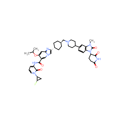 CC(C)Oc1cc2nc([C@H]3CC[C@H](CN4CCC(c5ccc6c(c5)n(C)c(=O)n6C5CCC(=O)NC5=O)CC4)CC3)cn2cc1C(=O)Nc1cccn([C@H]2C[C@H]2F)c1=O